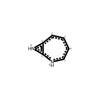 c1ccc2[nH]c=2[nH]c1